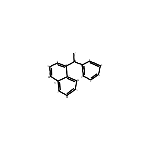 CC(c1ccccc1)c1cccc2ccccc12